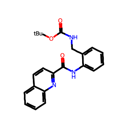 CC(C)(C)OC(=O)NCc1ccccc1NC(=O)c1ccc2ccccc2n1